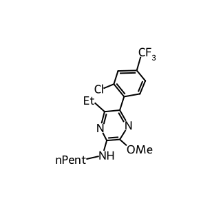 CCCCCNc1nc(CC)c(-c2ccc(C(F)(F)F)cc2Cl)nc1OC